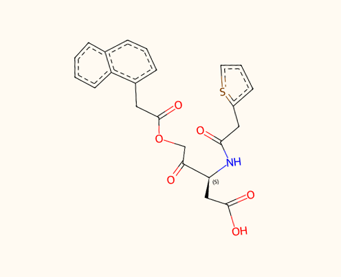 O=C(O)C[C@H](NC(=O)Cc1cccs1)C(=O)COC(=O)Cc1cccc2ccccc12